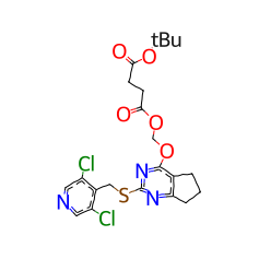 CC(C)(C)OC(=O)CCC(=O)OCOc1nc(SCc2c(Cl)cncc2Cl)nc2c1CCC2